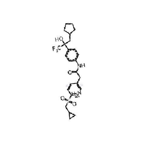 CCC(/C=C\C(=C/N)CC(=O)Nc1ccc(C(O)(CC2CCCC2)C(F)(F)F)cc1)S(=O)(=O)CC1CC1